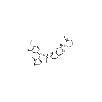 COc1ccc([C@H](NC(=O)c2ccc3cnc(N[C@H]4CCOC[C@@H]4F)cc3n2)c2ccnn2C)cc1F